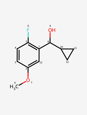 COc1ccc(F)c(C(O)C2CC2)c1